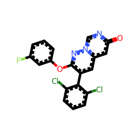 O=c1cc2cc(-c3c(Cl)cccc3Cl)c(Oc3cccc(F)c3)nn2cn1